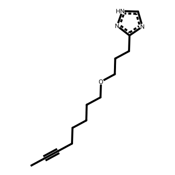 CC#CCCCCCOCCCc1nc[nH]n1